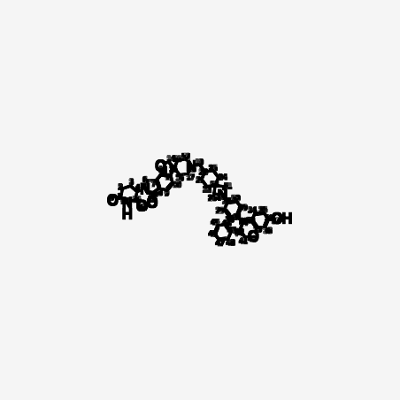 O=C1CCC(N2Cc3c(ccc4c3OCC43CCN(CC4CCC5(CC4)CN(c4ccc([C@@H]6c7ccc(O)cc7OC[C@@H]6c6ccccc6)cc4)C5)CC3)C2=O)C(=O)N1